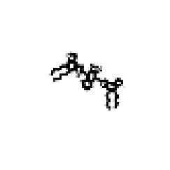 CCCCc1c(CCCC)c2sc(-c3c4ccccc4c(-c4cc5c(s4)c(CCCC)c(CCCC)c4sccc45)c4nsnc34)cc2c2ccsc12